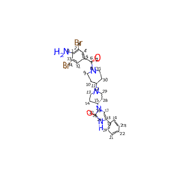 Nc1c(Br)cc(C(=O)N2CCC(N3CCC(n4cc(-c5ccccc5)[nH]c4=O)CC3)CC2)cc1Br